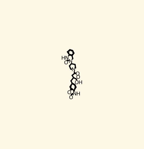 O=C(O)C(CC(=O)N1CCC(N2Cc3ccccc3NC2=O)CC1)Cc1ccc2[nH]c(=O)oc2c1